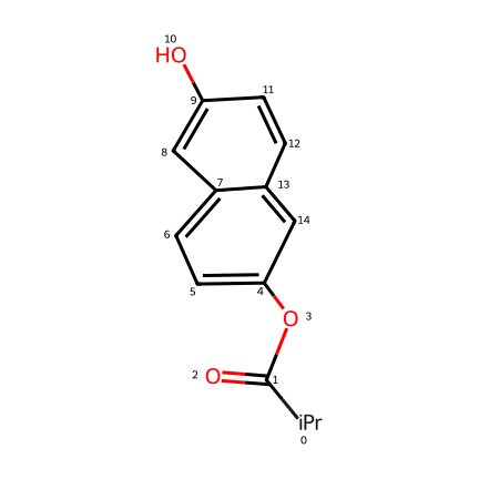 CC(C)C(=O)Oc1ccc2cc(O)ccc2c1